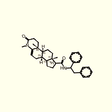 CN1C(=O)CC[C@@]2(C)C1=CC[C@@H]1[C@H]2CC[C@]2(C)C(C(=O)NC(Cc3ccccc3)c3ccccc3)CC[C@@H]12